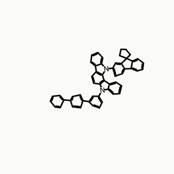 c1ccc(-c2ccc(-c3cccc(-n4c5ccccc5c5c4ccc4c6ccccc6n(-c6ccc7c(c6)C6(CCCC6)c6ccccc6-7)c45)c3)cc2)cc1